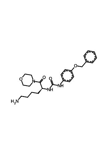 NCCCC[C@H](NC(=O)Nc1ccc(OCc2ccccc2)cc1)C(=O)N1CCOCC1